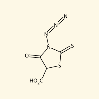 [N-]=[N+]=NN1C(=O)C(C(=O)O)SC1=S